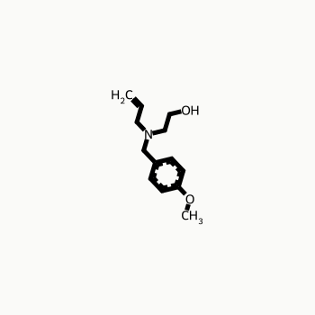 C=CCN(CCO)Cc1ccc(OC)cc1